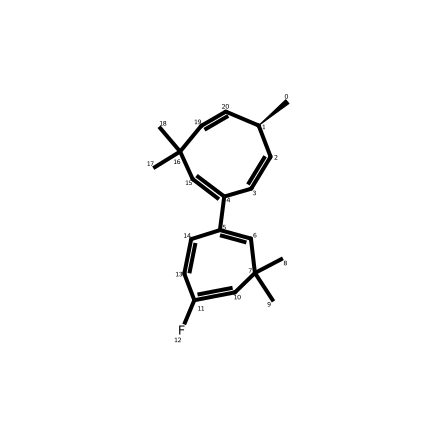 C[C@H]1/C=C\C(C2=CC(C)(C)C=C(F)C=C2)=C/C(C)(C)/C=C\1